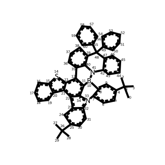 CC(C)(C)c1ccc2c(c1)B1c3c(c4sc5ccccc5c4c4c5cc(C(C)(C)C)ccc5n-2c34)-c2cccc3c2N1c1ccccc1C3(c1ccccc1)c1ccccc1